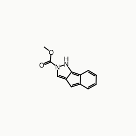 COC(=O)n1cc2cc3ccccc3c-2[nH]1